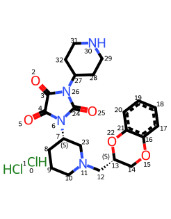 Cl.Cl.O=C1C(=O)N([C@H]2CCCN(C[C@H]3COc4ccccc4O3)C2)C(=O)N1C1CCNCC1